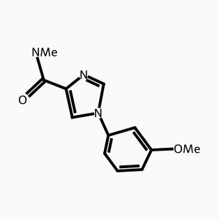 CNC(=O)c1cn(-c2cccc(OC)c2)cn1